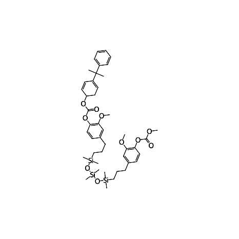 COC(=O)Oc1ccc(CCC[Si](C)(C)O[Si](C)(C)O[Si](C)(C)CCCc2ccc(OC(=O)OC3C=CC(C(C)(C)c4ccccc4)=CC3)c(OC)c2)cc1OC